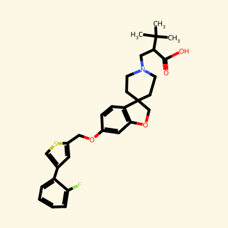 CC(C)(C)C(CN1CCC2(CC1)COc1cc(OCc3cc(-c4ccccc4F)cs3)ccc12)C(=O)O